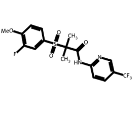 COc1ccc(S(=O)(=O)C(C)(C)C(=O)Nc2ccc(C(F)(F)F)cn2)cc1F